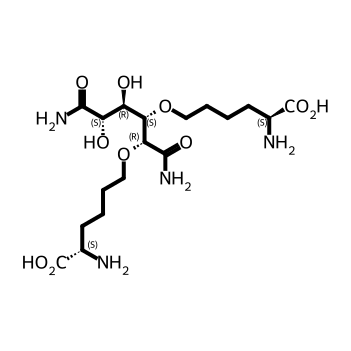 NC(=O)[C@@H](O)[C@@H](O)[C@H](OCCCC[C@H](N)C(=O)O)[C@@H](OCCCC[C@H](N)C(=O)O)C(N)=O